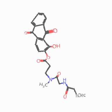 CCCCCCCCCCCC(=O)NCC(=O)N(C)CCC(=O)Oc1ccc2c(c1O)C(=O)c1ccccc1C2=O